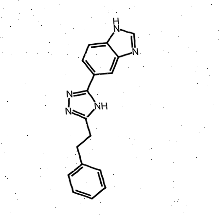 c1ccc(CCc2nnc(-c3ccc4[nH]cnc4c3)[nH]2)cc1